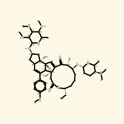 CC[C@H]1CCC[C@H](O[C@H]2CC[C@H](N(C)C)C(C)O2)[C@@H](C)C(=O)C2=C[C@@H]3C(C(c4ccc(OC)cc4)=CC4C[C@@H](OC5OC(C)C(OC)C(OC)C5OC)C[C@H]43)[C@@H]2CC(=O)O1